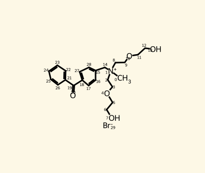 C[N+](CCOCCO)(CCOCCO)Cc1ccc(C(=O)c2ccccc2)cc1.[Br-]